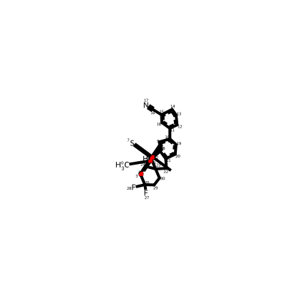 CN1C(=O)C2(NC1=S)c1cc(-c3cccc(C#N)c3)ccc1CC21CCC(F)(F)CC1